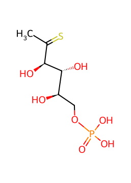 CC(=S)[C@H](O)[C@H](O)[C@H](O)COP(=O)(O)O